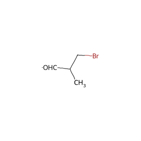 CC([C]=O)CBr